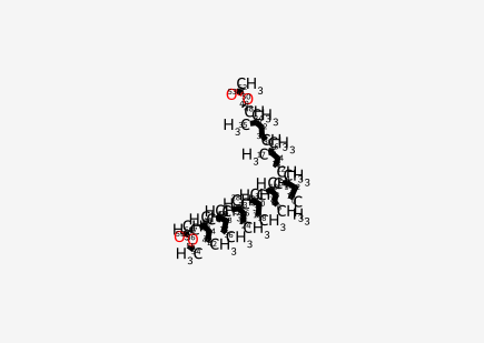 CCCC(C)C.CCCC(C)C.CCCC(C)C.CCCC(C)C.CCCC(C)C.CCCC(C)C.CCCC(C)C.CCCC(C)C.CCOC(C)=O.CCOC(C)=O